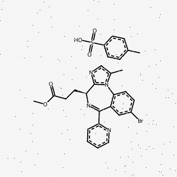 COC(=O)CC[C@@H]1N=C(c2ccccn2)c2cc(Br)ccc2-n2c(C)cnc21.Cc1ccc(S(=O)(=O)O)cc1